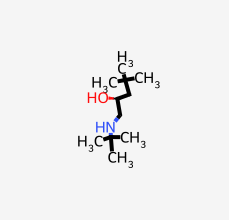 CC(C)(C)C[C@H](O)CNC(C)(C)C